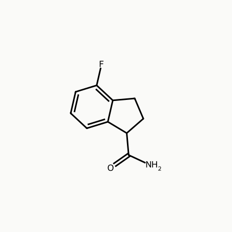 NC(=O)C1CCc2c(F)cccc21